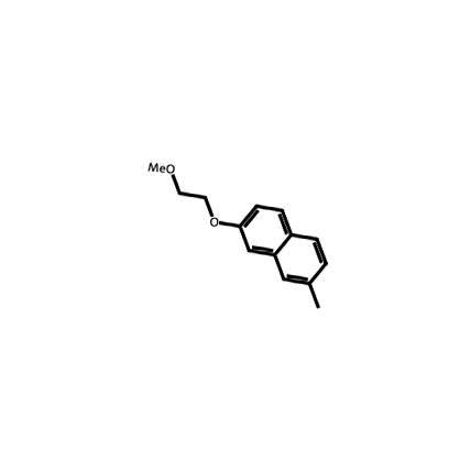 COCCOc1ccc2ccc(C)cc2c1